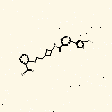 Cn1cc(-c2cccc(C(=O)NC3CC(CCOc4ncccc4C(N)=O)C3)c2)cn1